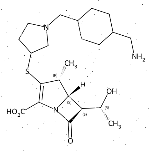 C[C@@H](O)[C@H]1C(=O)N2C(C(=O)O)=C(SC3CCN(CC4CCC(CN)CC4)C3)[C@H](C)[C@H]12